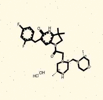 C[C@@H]1CN(CC(=O)N2CC(C)(C)c3[nH]c(=O)c(Cc4ccc(F)cc4F)cc32)[C@@H](CN2CCOC[C@H]2C)CN1.Cl.Cl